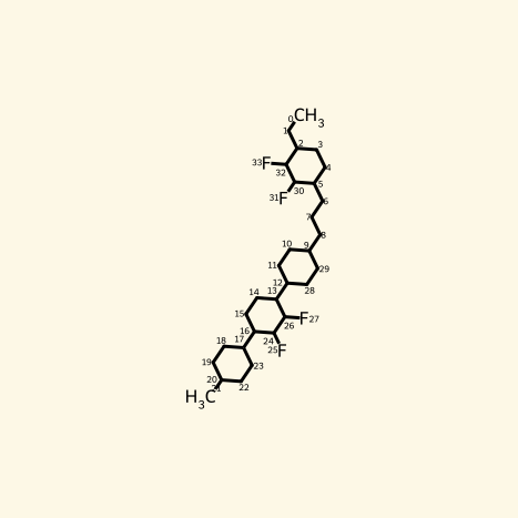 CCC1CCC(CCCC2CCC(C3CCC(C4CCC(C)CC4)C(F)C3F)CC2)C(F)C1F